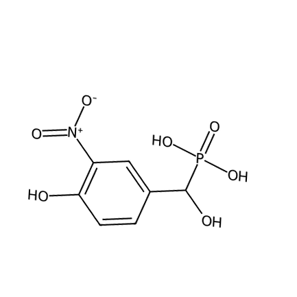 O=[N+]([O-])c1cc(C(O)P(=O)(O)O)ccc1O